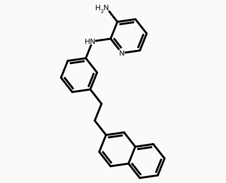 Nc1cccnc1Nc1cccc(CCc2ccc3ccccc3c2)c1